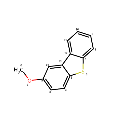 COc1ccc2sc3ccccc3c2c1